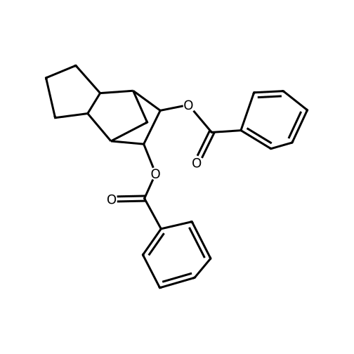 O=C(OC1C2CC(C3CCCC32)C1OC(=O)c1ccccc1)c1ccccc1